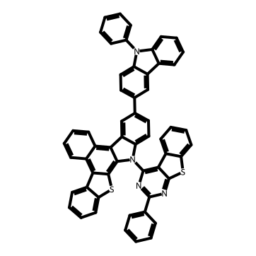 c1ccc(-c2nc(-n3c4ccc(-c5ccc6c(c5)c5ccccc5n6-c5ccccc5)cc4c4c5ccccc5c5c6ccccc6sc5c43)c3c(n2)sc2ccccc23)cc1